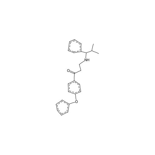 CC(C)C(NCCC(=O)c1ccc(Oc2ccccc2)cc1)c1ccccc1